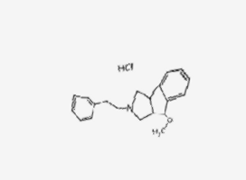 COC1c2ccccc2C2CN(CCc3ccccc3)CC21.Cl